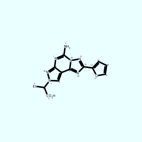 CCC(C(=O)O)n1cc2c(nc(N)n3nc(-c4ccco4)nc23)n1